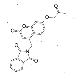 CC(=O)COc1ccc2c(CN3C(=O)c4ccccc4C3=O)cc(=O)oc2c1